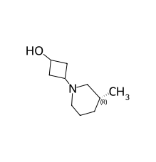 C[C@@H]1CCCN(C2CC(O)C2)C1